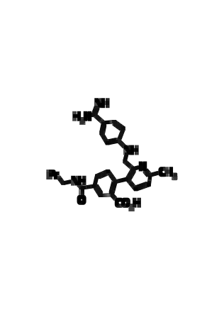 Cc1ccc(-c2ccc(C(=O)NCC(C)C)cc2C(=O)O)c(CNc2ccc(C(=N)N)cc2)n1